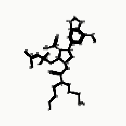 CCCCN(CCCN)C(=O)CN1C[C@H](c2cc(OC)c3c(c2)OCO3)[C@@H](C(=O)O)[C@@H]1CC(C)(C)C=C(C)C